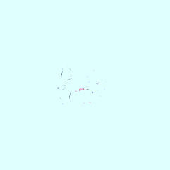 CC1(C)C(=O)N(CO)C(=O)N1CO.Oc1ccccc1-c1ccccc1